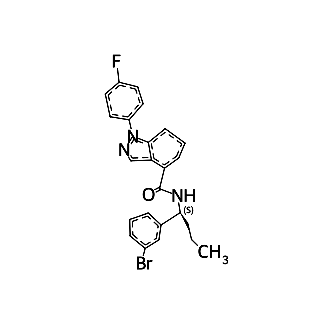 CCC[C@H](NC(=O)c1cccc2c1cnn2-c1ccc(F)cc1)c1cccc(Br)c1